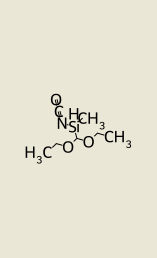 CCOC(OCC)[SiH](C)N=C=O